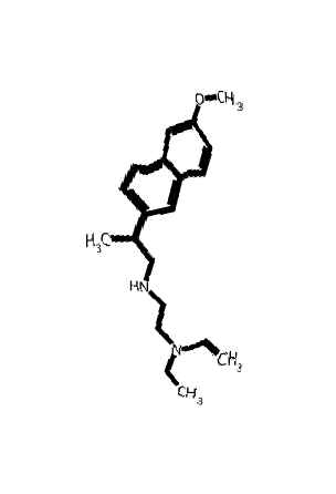 CCN(CC)CCNCC(C)c1ccc2cc(OC)ccc2c1